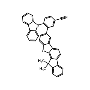 CC1(C)c2ccccc2-c2ccc3c(oc4ccc(-c5cc(C#N)ccc5-n5c6ccccc6c6ccccc65)cc43)c21